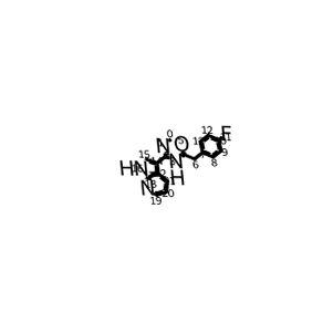 C/N=C(\NC(=O)Cc1ccc(F)cc1)c1c[nH]c2ncccc12